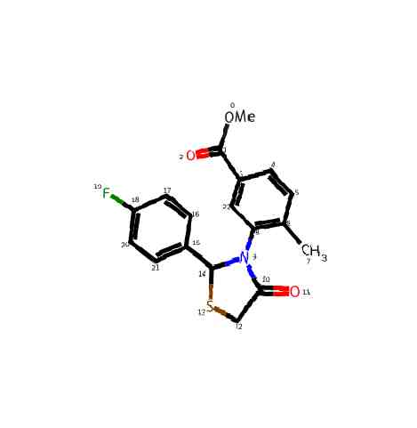 COC(=O)c1ccc(C)c(N2C(=O)CSC2c2ccc(F)cc2)c1